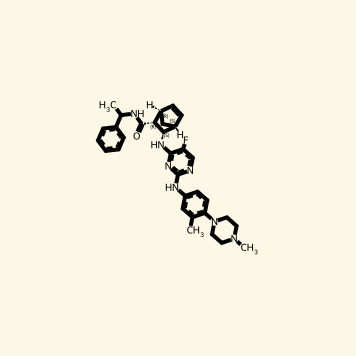 Cc1cc(Nc2ncc(F)c(N[C@@H]3[C@H](C(=O)NC(C)c4ccccc4)[C@H]4C=C[C@@H]3C4)n2)ccc1N1CCN(C)CC1